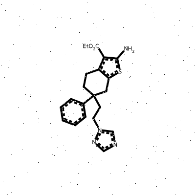 CCOC(=O)c1c(N)sc2c1CCC(CCn1cncn1)(c1ccccc1)C2